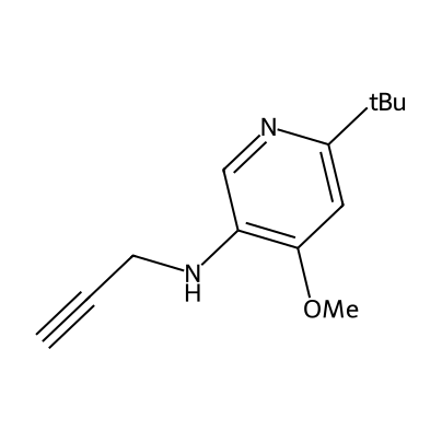 C#CCNc1cnc(C(C)(C)C)cc1OC